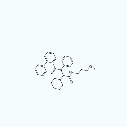 CCCCNC(=O)C(C1CCCCC1)N(C(=O)c1ccccc1-c1ccccc1)c1ccccc1